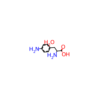 Nc1ccc(CC(N)C(=O)O)cc1.O